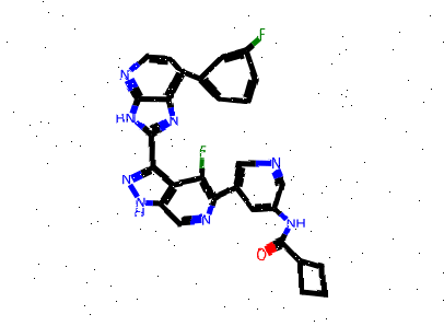 O=C(Nc1cncc(-c2ncc3[nH]nc(-c4nc5c(-c6cccc(F)c6)ccnc5[nH]4)c3c2F)c1)C1CCC1